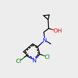 CN(CC(O)C1CC1)c1ccc(Cl)nc1Cl